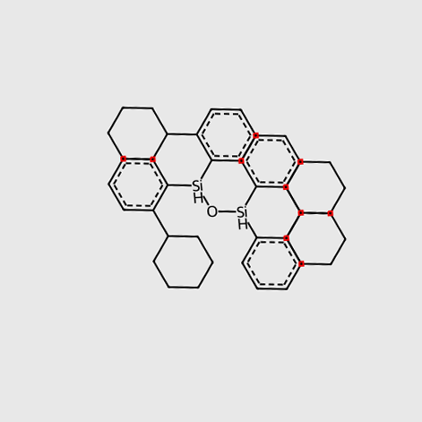 c1ccc([SiH](O[SiH](c2ccccc2C2CCCCC2)c2ccccc2C2CCCCC2)c2ccccc2C2CCCCC2)c(C2CCCCC2)c1